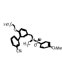 COc1ccc(S(=O)(=O)N(C)Cc2ccc(OCC(=O)O)c(-c3cccc(C#N)c3)c2)cc1